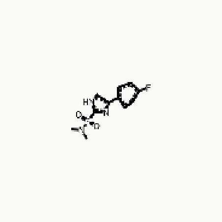 CN(C)S(=O)(=O)c1nc(-c2ccc(F)cc2)c[nH]1